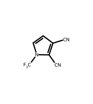 N#Cc1ccn(C(F)(F)F)c1C#N